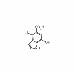 O=C(O)c1cc(O)c2[nH]ccc2c1Cl